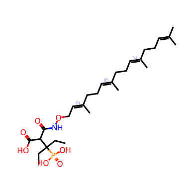 CCC(CC)(C(C(=O)O)C(=O)NOC/C=C(\C)CC/C=C(\C)CC/C=C(\C)CCC=C(C)C)P(=O)(O)O